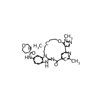 Cc1cc2cc(n1)-c1cnn(C)c1OCCC[C@@H](C)CN1/C(=N/C2=O)Nc2ccc(N[SH]3(=O)CCOCC3)cc21